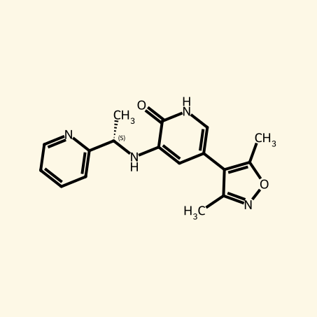 Cc1noc(C)c1-c1c[nH]c(=O)c(N[C@@H](C)c2ccccn2)c1